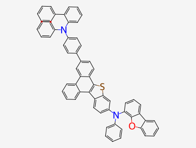 c1ccc(-c2ccccc2N(c2ccccc2)c2ccc(-c3ccc4c(c3)c3ccccc3c3c5ccc(N(c6ccccc6)c6cccc7c6oc6ccccc67)cc5sc43)cc2)cc1